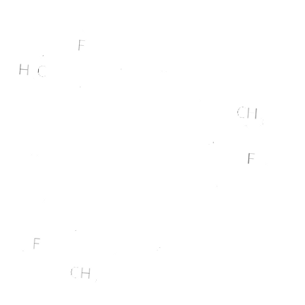 CC1(F)CCCCC(C)(F)CCCC(C)(F)CCC1